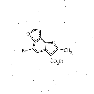 CCOC(=O)c1c(C)oc2c1cc(Br)c1occc12